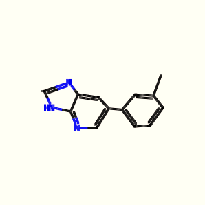 Cc1cccc(-c2cnc3[nH][c]nc3c2)c1